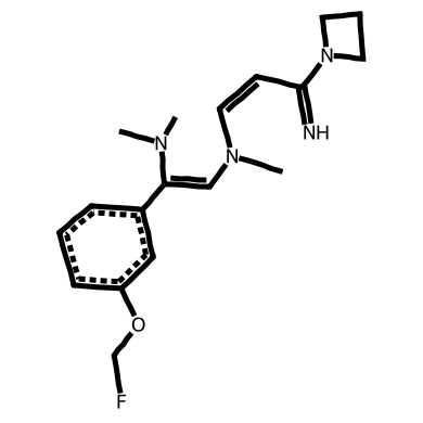 CN(/C=C\C(=N)N1CCC1)/C=C(/c1cccc(OCF)c1)N(C)C